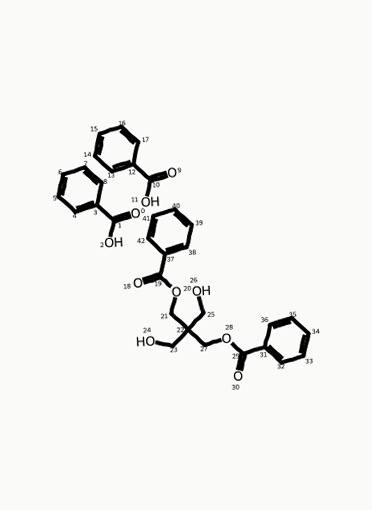 O=C(O)c1ccccc1.O=C(O)c1ccccc1.O=C(OCC(CO)(CO)COC(=O)c1ccccc1)c1ccccc1